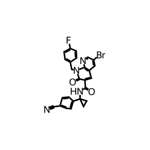 N#Cc1ccc(C2(NC(=O)c3cc4cc(Br)cnc4n(Cc4ccc(F)cc4)c3=O)CC2)cc1